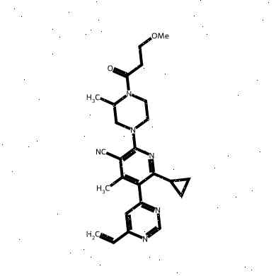 C=Cc1cc(-c2c(C3CC3)nc(N3CCN(C(=O)CCOC)C(C)C3)c(C#N)c2C)ncn1